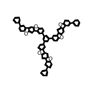 c1ccc(-c2ccc3oc4cc5c(cc4c3c2)oc2ccc(-c3cc(-c4ccc6oc7cc8c(cc7c6c4)oc4ccc(-c6ccccc6)cc48)cc(-c4ccc6oc7cc8c(cc7c6c4)oc4ccc(-c6ccccc6)cc48)c3)cc25)cc1